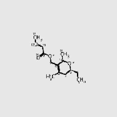 CC[C@H]1CC(C)=C(COC(=O)COC)[C@@H](C)O1